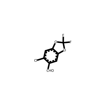 O=Cc1cc2c(cc1Cl)OC(F)(F)O2